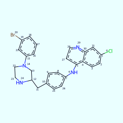 Clc1ccc2c(Nc3ccc(CC4CN(c5cccc(Br)c5)CCN4)cc3)ccnc2c1